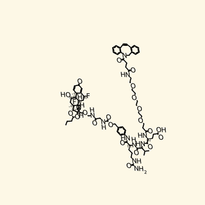 CCCC1O[C@@H]2C[C@H]3[C@@H]4C[C@H](F)C5=CC(=O)C=C[C@]5(C)[C@@]4(F)[C@@H](O)C[C@]3(C)[C@]2(C(=O)COCNC(=O)CNC(=O)OCc2ccc(NC(=O)[C@H](CCCNC(N)=O)NC(=O)[C@@H](NC(=O)[C@H](CCC(=O)O)NC(=O)CCOCCOCCOCCOCCNC(=O)CCC(=O)N3Cc4ccccc4C#Cc4ccccc43)C(C)C)cc2)O1